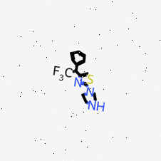 FC(F)(F)C(c1ccccc1)c1csc(N2CCNCC2)n1